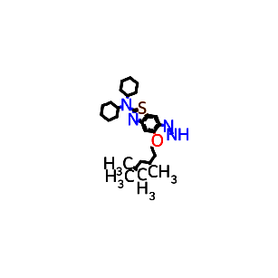 CC(CCOc1cc2nc(N(C3CCCCC3)C3CCCCC3)sc2cc1N=N)CC(C)(C)C